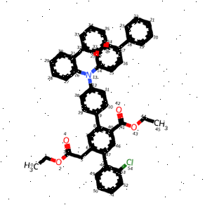 CCOC(=O)Cc1cc(-c2ccc(N(c3ccc(-c4ccccc4)cc3)c3ccccc3-c3ccccc3)cc2)c(C(=O)OCC)cc1-c1ccccc1Cl